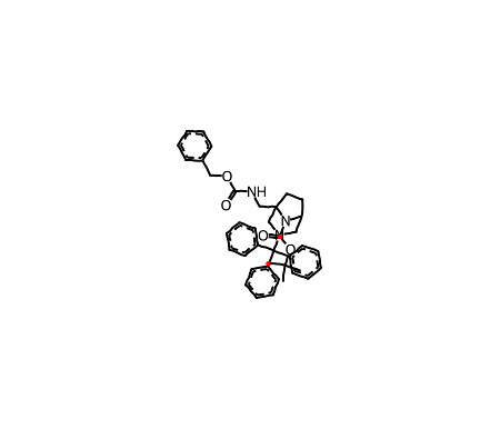 CC(C)(C)OC(=O)N1C2CCC1(CNC(=O)OCc1ccccc1)CN(C(c1ccccc1)(c1ccccc1)c1ccccc1)C2